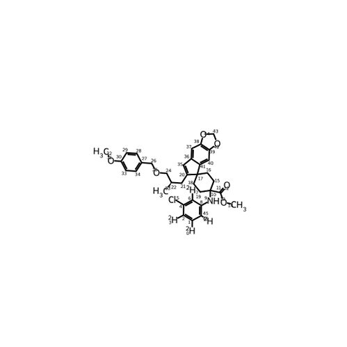 [2H]c1c([2H])c(Cl)c([2H])c(NC2(C(=O)OC)CCC3(CC2)C(C[C@@H](C)COCc2ccc(OC)cc2)=Cc2cc4c(cc23)OCO4)c1[2H]